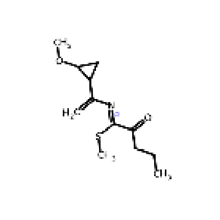 C=C(/N=C(\SC)C(=O)CCC)C1CC1OC